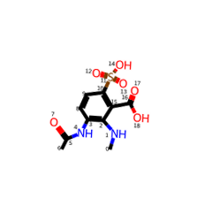 CNc1c(NC(C)=O)ccc(S(=O)(=O)O)c1C(=O)O